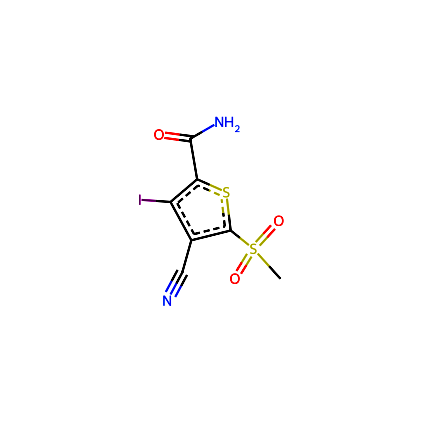 CS(=O)(=O)c1sc(C(N)=O)c(I)c1C#N